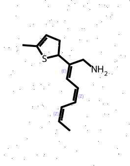 C\C=C/C=C\C=C(/CN)C1CC=C(C)S1